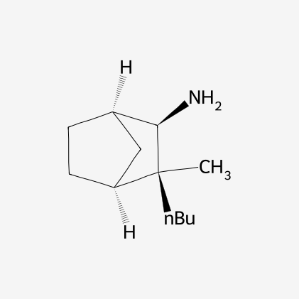 CCCC[C@@]1(C)[C@H]2CC[C@H](C2)[C@H]1N